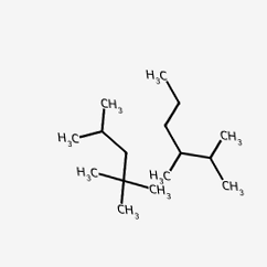 CC(C)CC(C)(C)C.CCCC(C)C(C)C